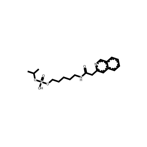 CC(C)OP(=O)(O)OCCCCCNC(=O)Cc1cc2ccccc2cn1